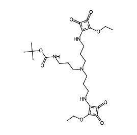 CCOc1c(NCCCN(CCCNC(=O)OC(C)(C)C)CCCNc2c(OCC)c(=O)c2=O)c(=O)c1=O